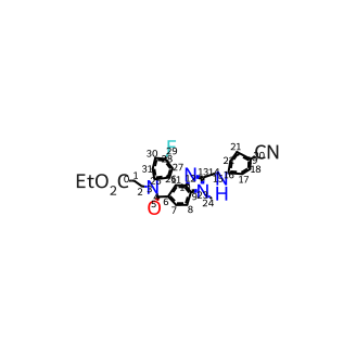 CCOC(=O)CCN(C(=O)c1ccc2c(c1)nc(CNc1ccc(C#N)cc1)n2C)c1ccc(F)cc1